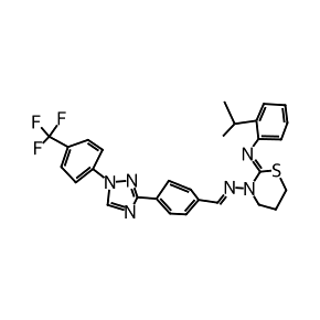 CC(C)c1ccccc1/N=C1\SCCCN1/N=C/c1ccc(-c2ncn(-c3ccc(C(F)(F)F)cc3)n2)cc1